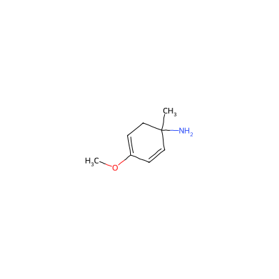 COC1=CCC(C)(N)C=C1